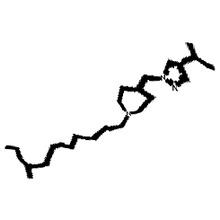 CCC(C)CCCCCCCN1CCC(Cn2cc(C(C)C)cn2)CC1